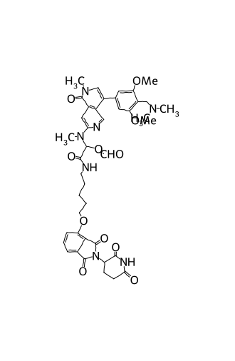 COc1cc(-c2cn(C)c(=O)c3cc(N(C)C(OC=O)C(=O)NCCCCCOc4cccc5c4C(=O)N(C4CCC(=O)NC4=O)C5=O)ncc23)cc(OC)c1CN(C)C